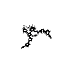 C#CS/C(=C\CC1=C(c2cc(-c3ccc(-c4ccc(C#N)s4)s3)sc2-c2ccc(C)s2)C(F)(F)C(F)(F)C1(F)F)c1ccc(-c2ccc(C#N)s2)s1